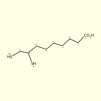 O=C(O)CCCCCCC(S)CS